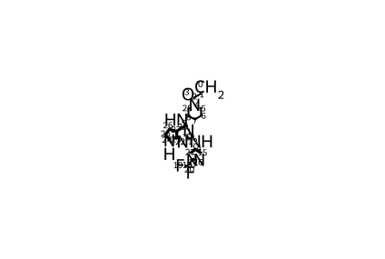 C=CC(=O)N1CCCC(Nc2nc(Nc3cnn(C(F)F)c3)nc3[nH]ccc23)C1